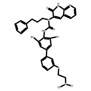 CCN(CC)CCSc1cccc(-c2cc(C(C)C)c(NC(=O)N(CCCc3ccccc3)c3cc4cccnc4[nH]c3=O)c(C(C)C)c2)c1